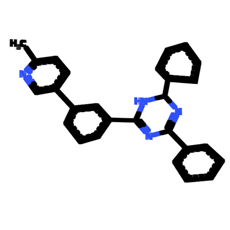 Cc1ccc(-c2cccc(C3=NC(c4ccccc4)=NC(c4ccccc4)N3)c2)cn1